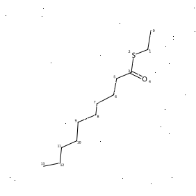 C[CH]SC(=O)CCCCCCCCC